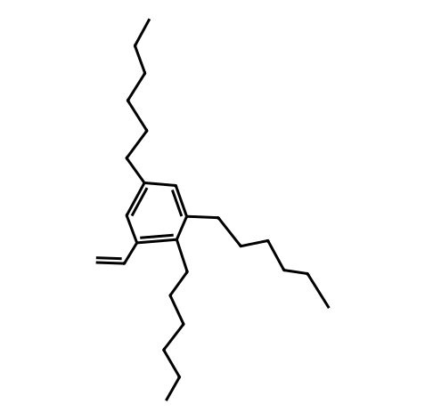 C=Cc1cc(CCCCCC)cc(CCCCCC)c1CCCCCC